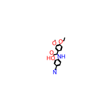 CCOc1ccc(C(Nc2ccc(C#N)cc2)C(=O)O)cc1OC